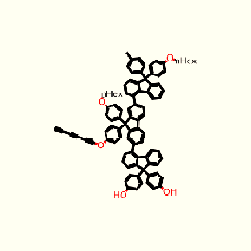 C#CC#CC#COc1ccc(C2(c3ccc(OCCCCCC)cc3)c3cc(-c4cccc5c4-c4ccccc4C5(c4ccc(O)cc4)c4ccc(O)cc4)ccc3-c3ccc(-c4cccc5c4-c4ccccc4C5(c4ccc(C)cc4)c4ccc(OCCCCCC)cc4)cc32)cc1